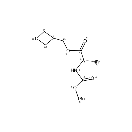 CC(C)[C@H](NC(=O)OC(C)(C)C)C(=O)OCC1COC1